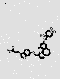 COC(=O)CC[C@@H]1COc2cc(OCc3ccc4c(c3)-c3c(C)cc(OCC5(O)CCS(=O)(=O)CC5)cc3CCC4)ccc21